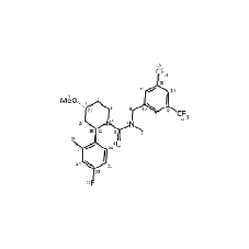 CO[C@@H]1CCN(C(=O)N(C)Cc2cc(C(F)(F)F)cc(C(F)(F)F)c2)[C@@H](c2ccc(F)cc2C)C1